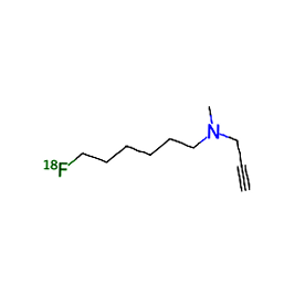 C#CCN(C)CCCCCC[18F]